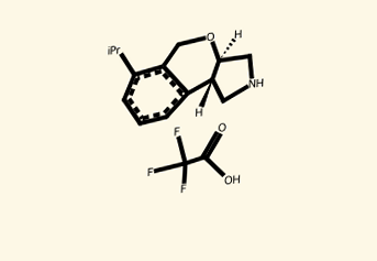 CC(C)c1cccc2c1CO[C@H]1CNC[C@H]21.O=C(O)C(F)(F)F